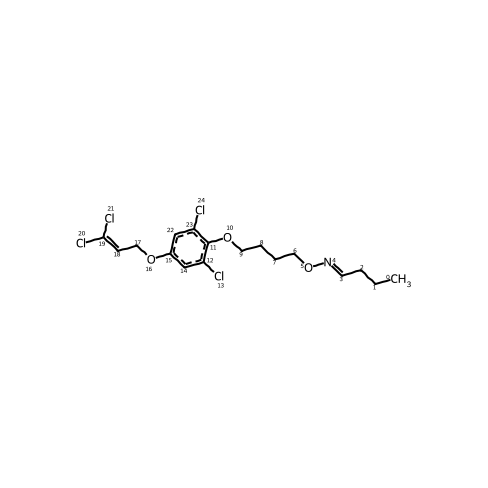 CCCC=NOCCCCOc1c(Cl)cc(OCC=C(Cl)Cl)cc1Cl